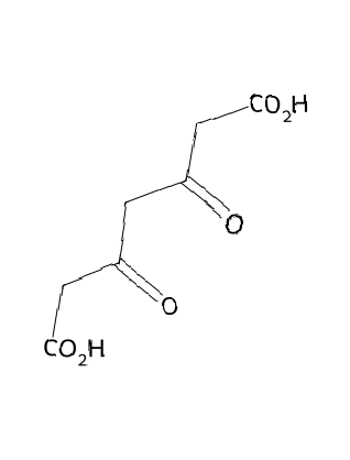 O=C(O)CC(=O)CC(=O)CC(=O)O